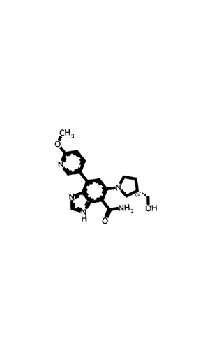 COc1ccc(-c2cc(N3CC[C@H](CO)C3)c(C(N)=O)c3[nH]cnc23)cn1